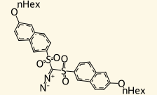 CCCCCCOc1ccc2cc(S(=O)(=O)C(=[N+]=[N-])S(=O)(=O)c3ccc4cc(OCCCCCC)ccc4c3)ccc2c1